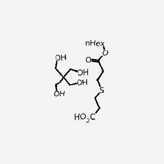 CCCCCCOC(=O)CCSCCC(=O)O.OCC(CO)(CO)CO